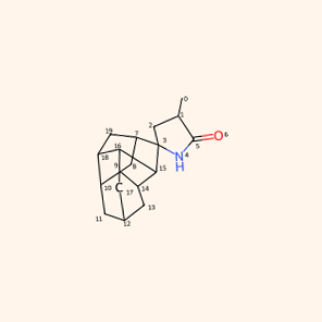 CC1CC2(NC1=O)C1CC3C4CC5CC3C2C(C5)C4C1